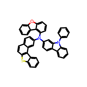 c1ccc(-n2c3ccccc3c3ccc(N(c4ccc5ccc6sc7ccccc7c6c5c4)c4cccc5oc6ccccc6c45)cc32)cc1